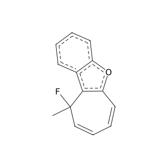 CC1(F)C=CC=Cc2oc3ccccc3c21